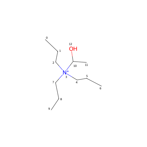 CCC[N+](CCC)(CCC)C(C)O